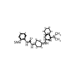 CSc1ccccc1NC(=S)NC1CCC(Nc2nc3c(c(N(C)C)n2)CCCC3)CC1